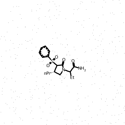 CCC[C@H]1CN(C(CC)C(N)=O)C(=O)C1S(=O)(=O)c1ccccc1